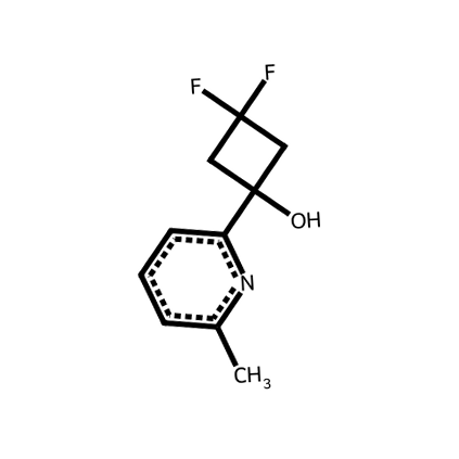 Cc1cccc(C2(O)CC(F)(F)C2)n1